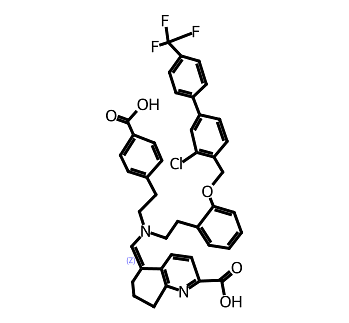 O=C(O)c1ccc(CCN(/C=C2/CCCc3nc(C(=O)O)ccc32)CCc2ccccc2OCc2ccc(-c3ccc(C(F)(F)F)cc3)cc2Cl)cc1